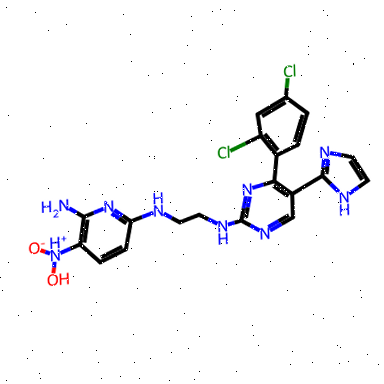 Nc1nc(NCCNc2ncc(-c3ncc[nH]3)c(-c3ccc(Cl)cc3Cl)n2)ccc1[NH+]([O-])O